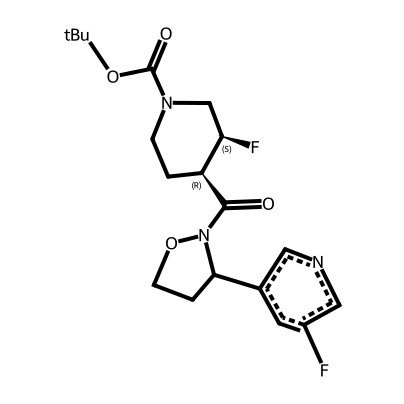 CC(C)(C)OC(=O)N1CC[C@H](C(=O)N2OCCC2c2cncc(F)c2)[C@H](F)C1